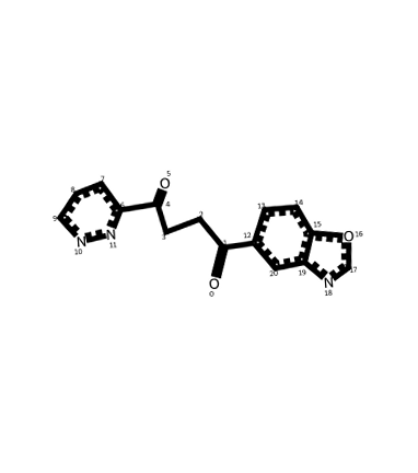 O=C(CCC(=O)c1cccnn1)c1ccc2ocnc2c1